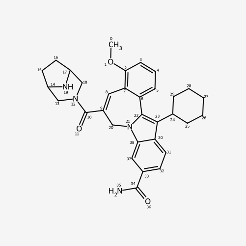 COc1cccc2c1C=C(C(=O)N1CC3CCC(C1)N3)Cn1c-2c(C2CCCCC2)c2ccc(C(N)=O)cc21